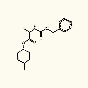 CC(NC(=O)OCc1ccccc1)C(=O)O[C@H]1CC[C@H](C)CC1